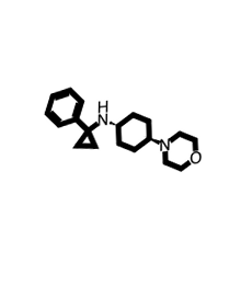 c1ccc(C2(N[C@H]3CC[C@H](N4CCOCC4)CC3)CC2)cc1